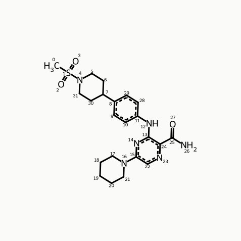 CS(=O)(=O)N1CCC(c2ccc(Nc3nc(N4CCCCC4)cnc3C(N)=O)cc2)CC1